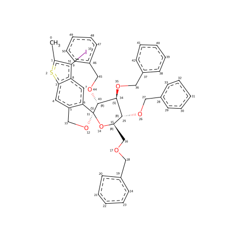 Cc1sc2cc3c(cc2c1I)[C@]1(OC3)O[C@H](COCc2ccccc2)[C@@H](OCc2ccccc2)[C@H](OCc2ccccc2)[C@H]1OCc1ccccc1